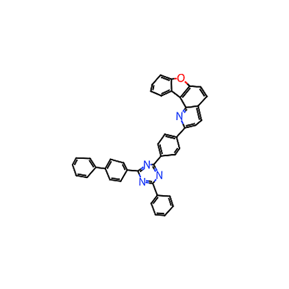 c1ccc(-c2ccc(-c3nc(-c4ccccc4)nc(-c4ccc(-c5ccc6ccc7oc8ccccc8c7c6n5)cc4)n3)cc2)cc1